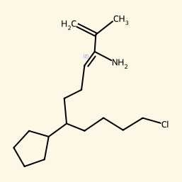 C=C(C)/C(N)=C/CCC(CCCCCl)C1CCCC1